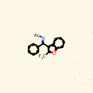 CC(=O)N=C(c1ccccc1)c1c(C(F)(F)F)oc2ccccc12